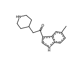 Cc1ccc2[nH]cc(C(=O)CC3CCNCC3)c2c1